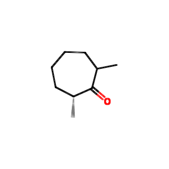 CC1CCCC[C@@H](C)C1=O